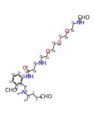 CC(CCC=O)N(C)Cc1c(C=O)cccc1NC(=O)CCNCCOCCOCCOCCNC=O